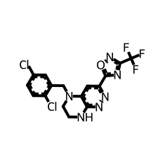 FC(F)(F)c1noc(-c2cc3c(nn2)NCCN3Cc2cc(Cl)ccc2Cl)n1